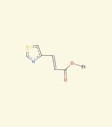 CCOC(=O)C=Cc1cscn1